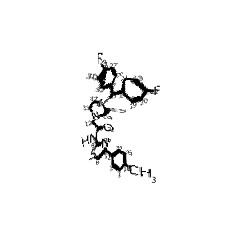 Cc1ccc(-c2csc(NC(=O)CN3CCN(C(c4ccc(F)cc4)c4ccc(F)cc4)CC3)n2)cc1